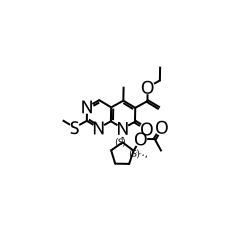 C=C(OCC)c1c(C)c2cnc(SC)nc2n([C@H]2CCC[C@]2(C)OC(C)=O)c1=O